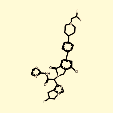 O=C(Nc1nccs1)C(c1ncn2c1CC(F)C2)N1Cc2c(Cl)cc(-c3ccc(C4CCN(CC(F)F)CC4)cc3)cc2C1=O